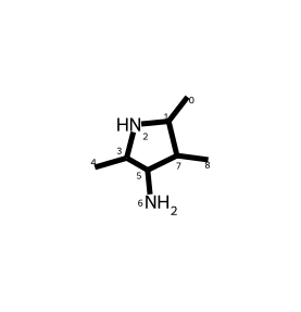 CC1NC(C)C(N)C1C